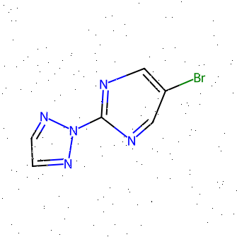 Brc1cnc(-n2nccn2)nc1